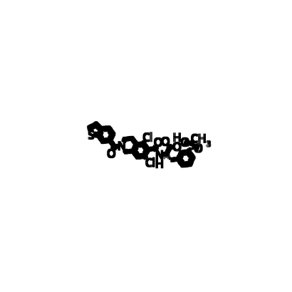 CS(=O)(=O)c1cccc(C[C@H](NC(=O)c2c(Cl)cc3c(c2Cl)CCN(C(=O)c2ccc4ccsc4c2)C3)C(=O)O)c1